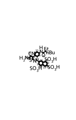 CCCCC(CC)C(=O)Nc1ccc(-c2c(/N=N/c3cc(S(=O)(=O)O)c4cc(S(=O)(=O)O)cc(S(=O)(=O)O)c4c3)sc(N)c2C#N)cc1